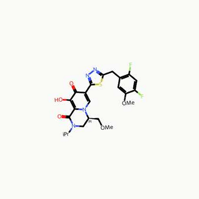 COC[C@H]1CN(C(C)C)C(=O)c2c(O)c(=O)c(-c3nnc(Cc4cc(OC)c(F)cc4F)s3)cn21